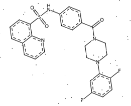 O=C(c1ccc(NS(=O)(=O)c2cccc3cccnc23)cc1)N1CCN(c2cc(F)ccc2F)CC1